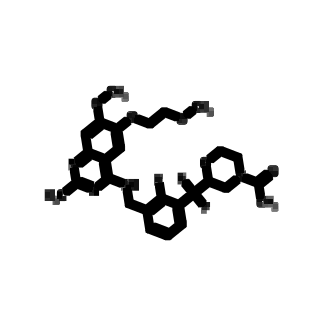 COCCOc1cc2c(NCc3cccc(C(F)(F)C4CN(C(C)=O)CCO4)c3F)nc(C)nc2cc1OC